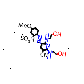 COc1ccc(/N=N/c2cc(C#N)c(NCCO)nc2NCCO)c(S(=O)(=O)O)c1